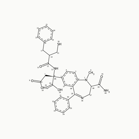 CN1c2ccc([C@@](CC(=O)O)(NC(=O)C(CS)Cc3ccccc3)C(=O)O)cc2C(c2ccccc2)=NCC1C(N)=O